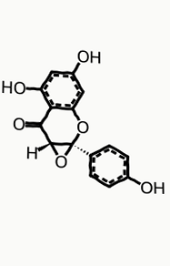 O=C1c2c(O)cc(O)cc2O[C@@]2(c3ccc(O)cc3)O[C@H]12